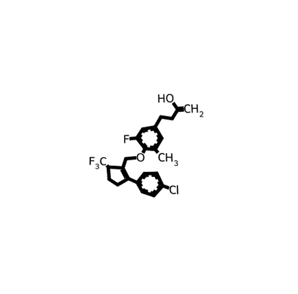 C=C(O)CCc1cc(C)c(OCC2=C(c3ccc(Cl)cc3)CCC2C(F)(F)F)c(F)c1